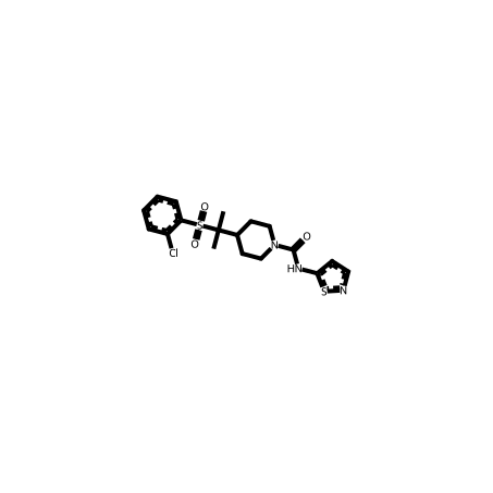 CC(C)(C1CCN(C(=O)Nc2ccns2)CC1)S(=O)(=O)c1ccccc1Cl